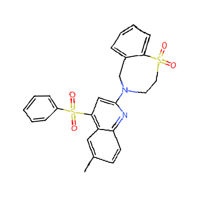 Cc1ccc2nc(N3CCS(=O)(=O)c4ccccc4C3)cc(S(=O)(=O)c3ccccc3)c2c1